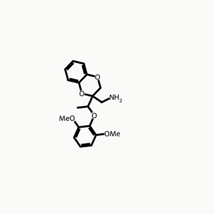 COc1cccc(OC)c1OC(C)C1(CN)COc2ccccc2O1